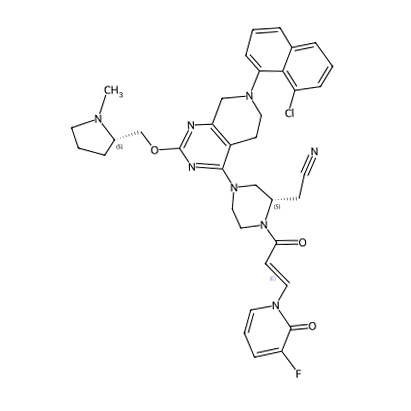 CN1CCC[C@H]1COc1nc2c(c(N3CCN(C(=O)/C=C/n4cccc(F)c4=O)[C@@H](CC#N)C3)n1)CCN(c1cccc3cccc(Cl)c13)C2